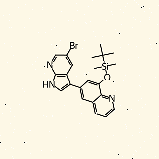 CC(C)(C)[Si](C)(C)Oc1cc(-c2c[nH]c3ncc(Br)cc23)cc2cccnc12